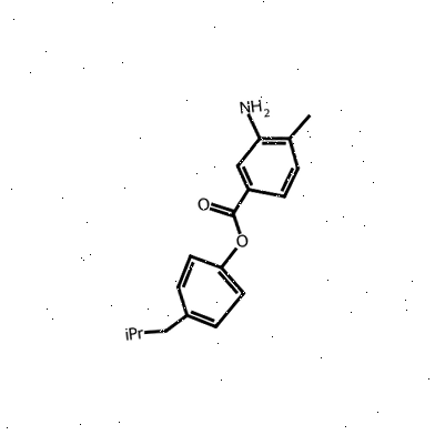 Cc1ccc(C(=O)Oc2ccc(CC(C)C)cc2)cc1N